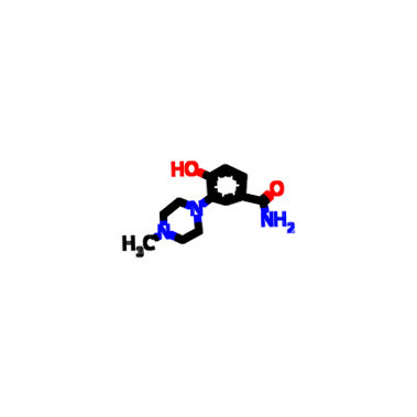 CN1CCN(c2cc(C(N)=O)ccc2O)CC1